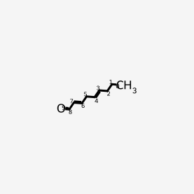 CCCC=CC/C=C/C=O